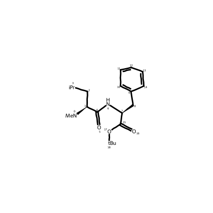 CN[C@@H](CC(C)C)C(=O)N[C@@H](Cc1ccccc1)C(=O)OC(C)(C)C